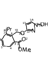 COC(=O)c1cccc(C(C)C)c1COc1ccn(O)n1